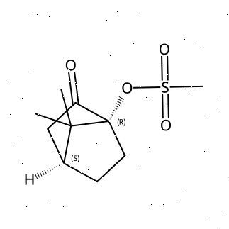 CC1(C)[C@H]2CC[C@]1(OS(C)(=O)=O)C(=O)C2